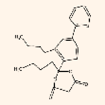 CCCCc1cc(-c2ccccc2)ccc1C1(CCCC)OC(=O)CC(=O)O1